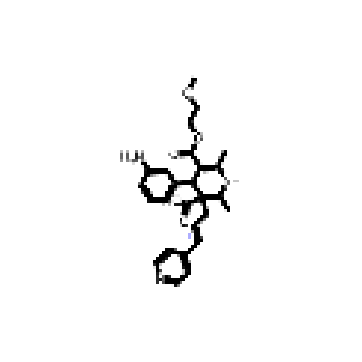 COCCOC(=O)C1=C(C)NC(C)C(C/C=C/c2ccncc2)(C(=O)O)C1c1cccc(N)c1